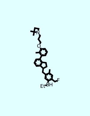 CCBc1cc(CC2CCc3c(-c4cccc(OCCCN5CCC5(C)C)c4C)cccc32)c(C)cc1CF